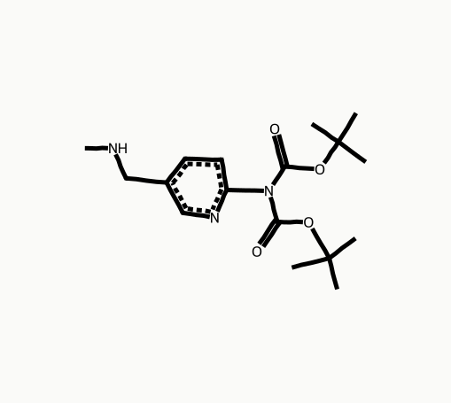 CNCc1ccc(N(C(=O)OC(C)(C)C)C(=O)OC(C)(C)C)nc1